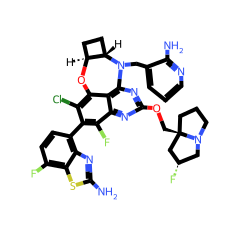 Nc1nc2c(-c3c(Cl)c4c5c(nc(OC[C@@]67CCCN6C[C@H](F)C7)nc5c3F)N(Cc3cccnc3N)[C@H]3CC[C@@H]3O4)ccc(F)c2s1